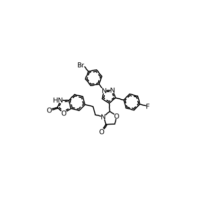 O=C1COC(c2cn(-c3ccc(Br)cc3)nc2-c2ccc(F)cc2)N1CCc1ccc2[nH]c(=O)oc2c1